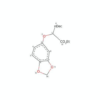 CCCCCCCCCCC(Oc1ccc2c(c1)OCO2)C(=O)OCC